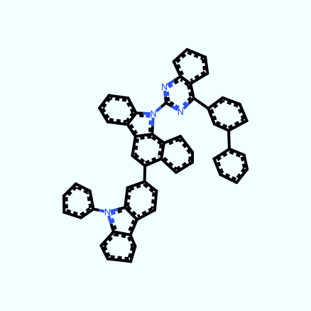 c1ccc(-c2cccc(-c3nc(-n4c5ccccc5c5cc(-c6ccc7c8ccccc8n(-c8ccccc8)c7c6)c6ccccc6c54)nc4ccccc34)c2)cc1